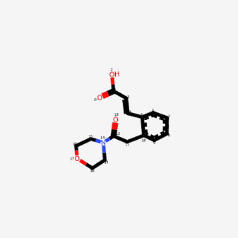 O=C(O)/C=C/c1ccccc1CC(=O)N1CCOCC1